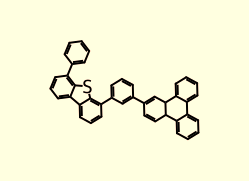 C1=CC2c3ccccc3-c3ccccc3C2C=C1c1cccc(-c2cccc3c2sc2c(-c4ccccc4)cccc23)c1